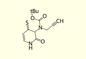 C#CCN(C(=O)OC(C)(C)C)C1C(=O)NC=CC1=S